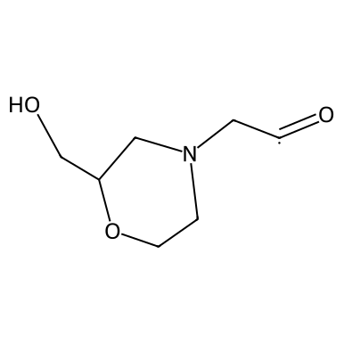 O=[C]CN1CCOC(CO)C1